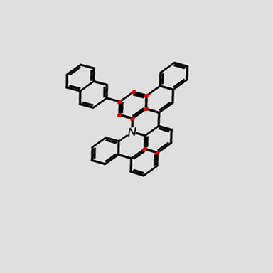 c1ccc(-c2ccccc2N(c2cccc(-c3ccc4ccccc4c3)c2)c2ccccc2-c2cc3ccccc3c3ccccc23)cc1